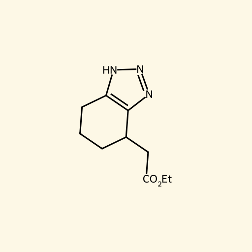 CCOC(=O)CC1CCCc2[nH]nnc21